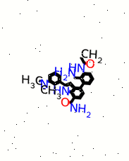 C=CC(=O)Nc1cccc(-c2ccc(C(N)=O)c3[nH]c(-c4cccc(N(C)C)c4)cc23)c1CN